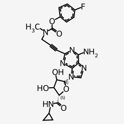 CN(CC#Cc1nc(N)c2ncn([C@@H]3O[C@H](C(=O)NC4CC4)C(O)C3O)c2n1)C(=O)Oc1ccc(F)cc1